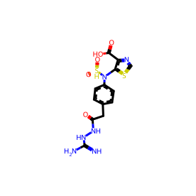 N=C(N)NNC(=O)Cc1ccc(N(c2scnc2C(=O)O)[SH](=O)=O)cc1